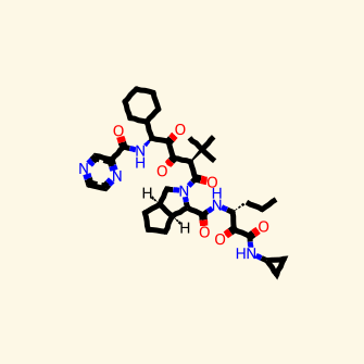 CCC[C@@H](NC(=O)C1[C@H]2CCC[C@H]2CN1C(=O)[C@@H](C(=O)C(=O)[C@@H](NC(=O)c1cnccn1)C1CCCCC1)C(C)(C)C)C(=O)C(=O)NC1CC1